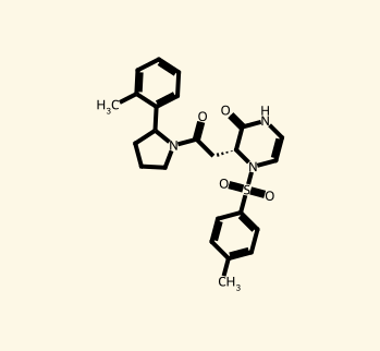 Cc1ccc(S(=O)(=O)N2C=CNC(=O)[C@H]2CC(=O)N2CCCC2c2ccccc2C)cc1